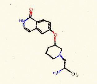 CC(N)CN1CCCC(Oc2ccc3c(=O)[nH]ccc3c2)C1